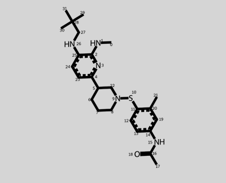 CNc1nc(C2CCCN(Sc3ccc(NC(C)=O)cc3C)C2)ccc1NCC(C)(C)C